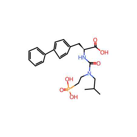 CC(C)CN(CCP(=O)(O)O)C(=O)N[C@@H](Cc1ccc(-c2ccccc2)cc1)C(=O)O